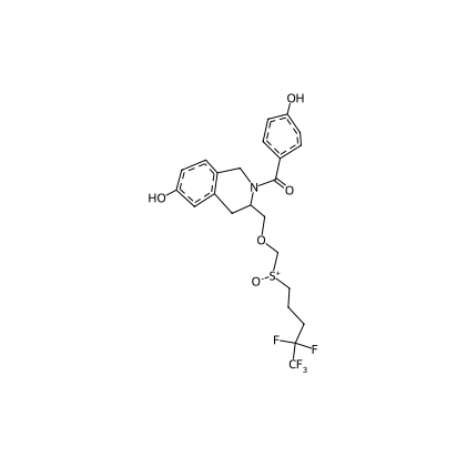 O=C(c1ccc(O)cc1)N1Cc2ccc(O)cc2CC1COC[S+]([O-])CCCC(F)(F)C(F)(F)F